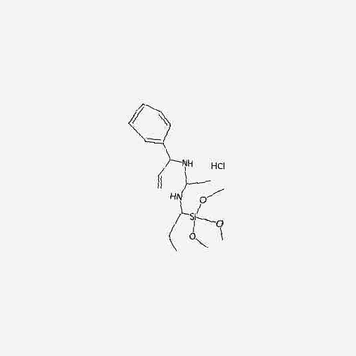 C=CC(NC(C)NC(CC)[Si](OC)(OC)OC)c1ccccc1.Cl